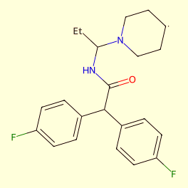 CCC(NC(=O)C(c1ccc(F)cc1)c1ccc(F)cc1)N1CC[CH]CC1